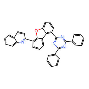 c1ccc(-c2nc(-c3ccccc3)nc(-c3cccc4oc5c(-c6ccc7ccccc7n6)cccc5c34)n2)cc1